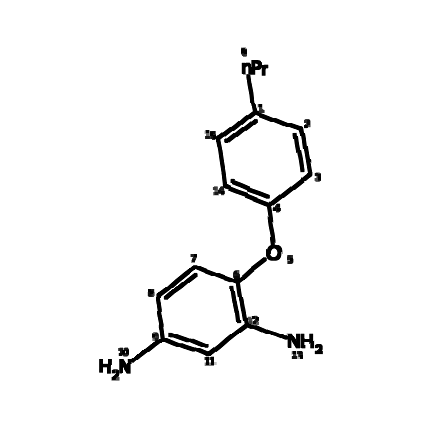 CCCc1ccc(Oc2ccc(N)cc2N)cc1